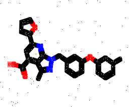 Cc1nn(Cc2cccc(OC3=CC=CC(C)C3)c2)c2nc(-c3ccco3)cc(C(=O)O)c12